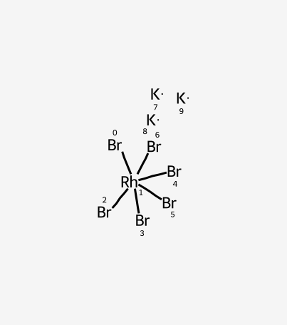 [Br][Rh]([Br])([Br])([Br])([Br])[Br].[K].[K].[K]